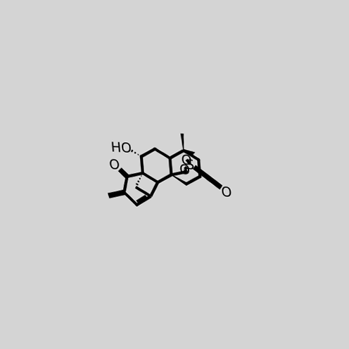 C=C1C=C2C[C@@]3(C1=O)C2[C@@]12CCC[C@@](C)(COS(=O)OC1)C2C[C@H]3O